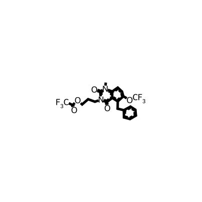 Cn1c(=O)n(CCCOC(=O)C(F)(F)F)c(=O)c2c(Cc3ccccc3)c(OC(F)(F)F)ccc21